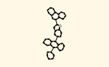 c1ccc(-c2c3ccccc3c(-c3ccc4oc(-c5cc6ccccc6c6ccccc56)cc4c3)c3ccccc23)cc1